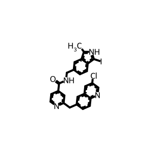 Cc1[nH]c(I)c2ccc(CNC(=O)c3ccnc(Cc4ccc5ncc(Cl)cc5c4)c3)cc12